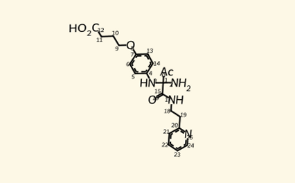 CC(=O)C(N)(Nc1ccc(OCCCC(=O)O)cc1)C(=O)NCCc1ccccn1